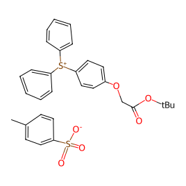 CC(C)(C)OC(=O)COc1ccc([S+](c2ccccc2)c2ccccc2)cc1.Cc1ccc(S(=O)(=O)[O-])cc1